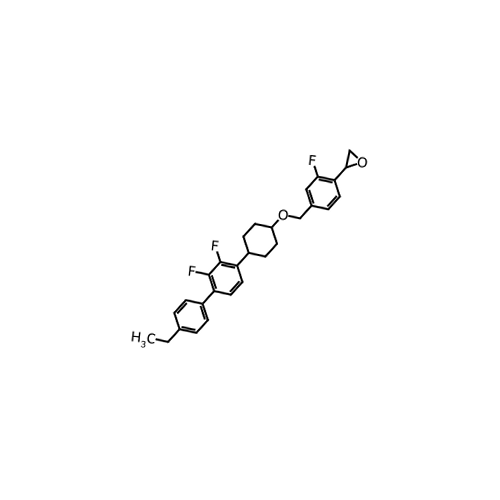 CCc1ccc(-c2ccc(C3CCC(OCc4ccc(C5CO5)c(F)c4)CC3)c(F)c2F)cc1